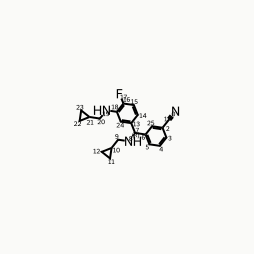 N#Cc1cccc([C@@H](NCC2CC2)c2ccc(F)c(NCC3CC3)c2)c1